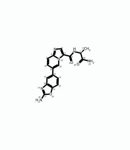 C[C@H](NC(=O)c1cnc2ccc(-c3ccc4oc(N)nc4c3)cn12)C(N)=O